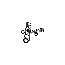 CC(I)NCC(=O)NCC(=O)N[C@@H](Cc1ccccc1)C(=O)NCC(=O)C(C)C